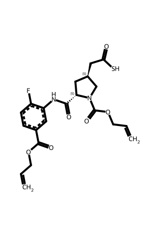 C=CCOC(=O)c1ccc(F)c(NC(=O)[C@@H]2C[C@@H](CC(=O)S)CN2C(=O)OCC=C)c1